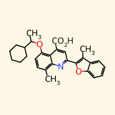 Cc1c(-c2cc(C(=O)O)c3c(OC(C)C4CCCCC4)ccc(C)c3n2)oc2ccccc12